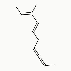 CC=C=CCC=CC(C)=CC